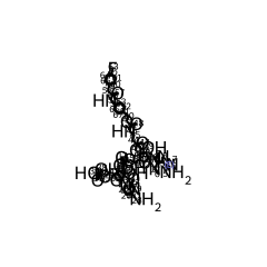 C=Nc1c(/C(N)=N\C)ncn1[C@@H]1OC(COP(=O)(O)O[C@H]2[C@@H](O)[C@H](n3ccc(N)nc3=O)O[C@@H]2COP(=O)(O)O)[C@@H](OC(=O)CCNC(=O)OCc2ccc(NC(=O)Cc3ccc(F)cc3)cc2)[C@H]1O